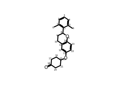 Cc1cccc(C)c1C1CCc2cc(OC3CCC(=O)CC3)ccc2O1